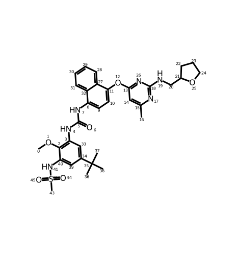 COc1c(NC(=O)Nc2ccc(Oc3cc(C)nc(NCC4CCCO4)n3)c3ccccc23)cc(C(C)(C)C)cc1NS(C)(=O)=O